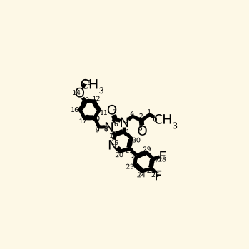 CCC(=O)Cn1c(=O)n(Cc2ccc(OC)cc2)c2ncc(-c3ccc(F)c(F)c3)cc21